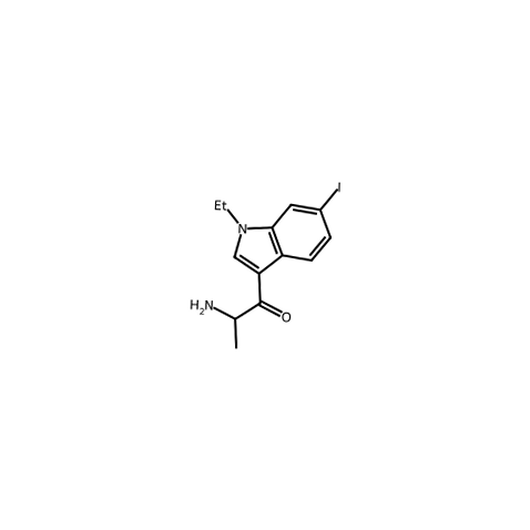 CCn1cc(C(=O)C(C)N)c2ccc(I)cc21